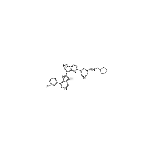 Fc1cccc(-c2cncc3[nH]c(-c4n[nH]c5ccc(-c6cncc(CNCC7CCCC7)c6)nc45)nc23)c1